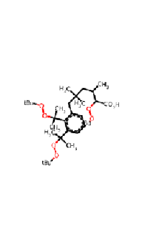 CC(CC(C)(C)Cc1cccc(C(C)(C)OOC(C)(C)C)c1C(C)(C)OOC(C)(C)C)C(OOC(C)(C)C)C(=O)O